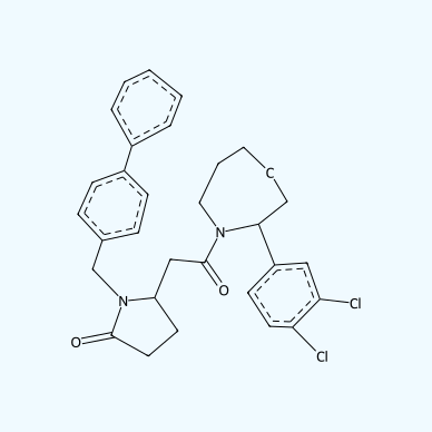 O=C1CCC(CC(=O)N2CCCCCC2c2ccc(Cl)c(Cl)c2)N1Cc1ccc(-c2ccccc2)cc1